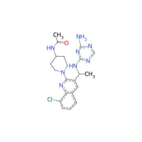 CC(=O)NC1CCN(c2nc3c(Cl)cccc3cc2C(C)Nc2ncnc(N)n2)CC1